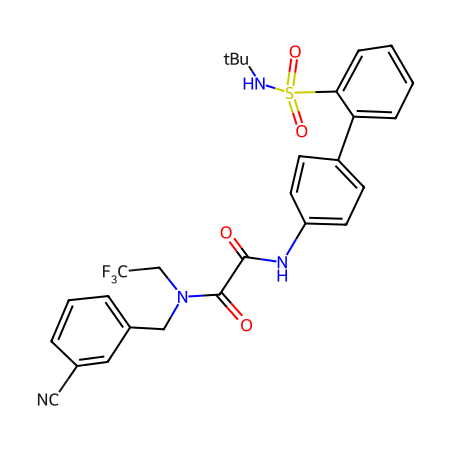 CC(C)(C)NS(=O)(=O)c1ccccc1-c1ccc(NC(=O)C(=O)N(Cc2cccc(C#N)c2)CC(F)(F)F)cc1